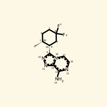 C[C@@H]1CCC(F)(F)C[C@@H]1c1nnc2c(N)nccn12